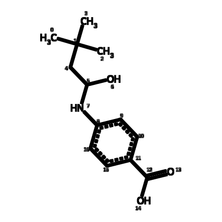 CC(C)(C)CC(O)Nc1ccc(C(=O)O)cc1